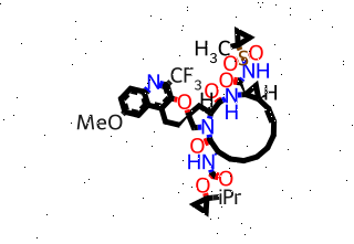 COc1ccc2nc(C(F)(F)F)c3c(c2c1)CC[C@]1(C[C@H]2C(=O)N[C@]4(C(=O)NS(=O)(=O)C5(C)CC5)C[C@H]4/C=C\CCCCC[C@H](NC(=O)OC4(C(C)C)CC4)C(=O)N2C1)O3